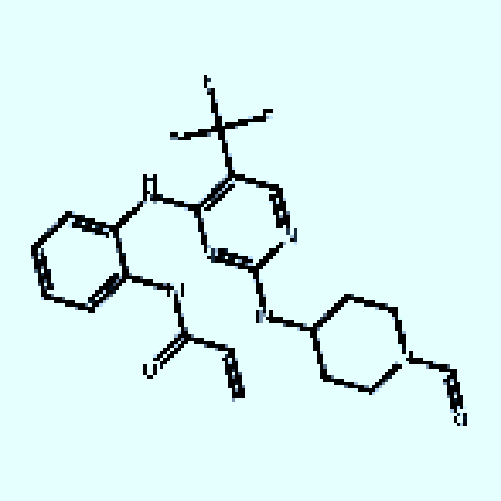 C=CC(=O)Nc1ccccc1Nc1nc(NC2CCN(C=O)CC2)ncc1C(F)(F)F